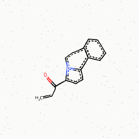 C=CC(=O)c1ccc2c3ccccc3ccn12